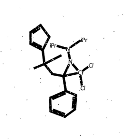 CC(C)N(C(C)C)[N]1[C](CC(C)(C)C2=CC=CC2)(c2ccccc2)[Cr]1([Cl])[Cl]